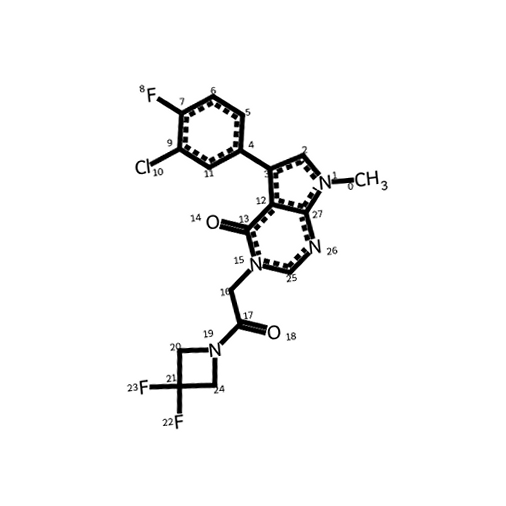 Cn1cc(-c2ccc(F)c(Cl)c2)c2c(=O)n(CC(=O)N3CC(F)(F)C3)cnc21